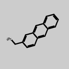 C[C](C)Cc1ccc2cc3ccccc3cc2c1